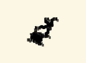 CCCCO.CCCCO.CCCCO.CCCCO.CCCC[O][Ti](=[O])([CH2]CCC)([CH2]CCC)[O]CCCC.[Ti]